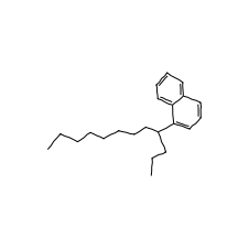 CCCCCCCCC(CCC)c1cccc2ccccc12